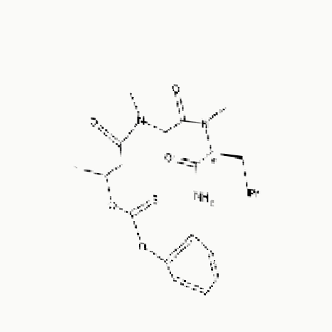 CC(C)C[C@@H](C(N)=O)N(C)C(=O)CN(C)C(=O)CC(C)OC(=S)Oc1ccccc1